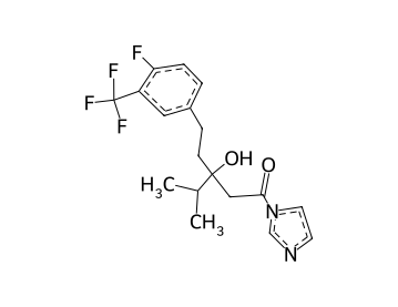 CC(C)C(O)(CCc1ccc(F)c(C(F)(F)F)c1)CC(=O)n1ccnc1